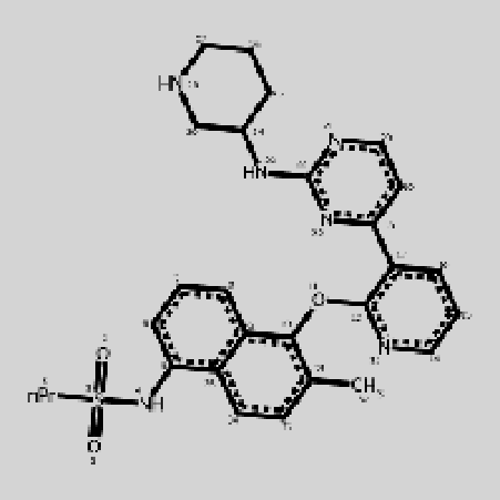 CCCS(=O)(=O)Nc1cccc2c(Oc3ncccc3-c3ccnc(NC4CCCNC4)n3)c(C)ccc12